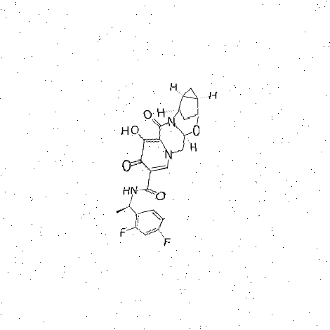 C[C@@H](NC(=O)c1cn2c(c(O)c1=O)C(=O)N1[C@H](C2)OC2C[C@@H]1[C@H]1C[C@@H]21)c1ccc(F)cc1F